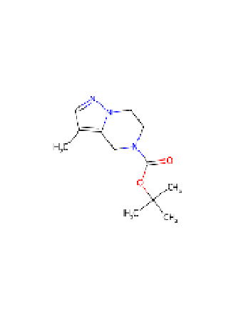 Cc1cnn2c1CN(C(=O)OC(C)(C)C)CC2